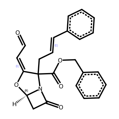 O=C/C=C1/O[C@@H]2CC(=O)N2C1(C/C=C/c1ccccc1)C(=O)OCc1ccccc1